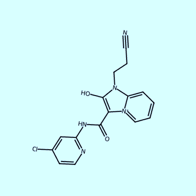 N#CCCn1c(O)c(C(=O)Nc2cc(Cl)ccn2)[n+]2ccccc12